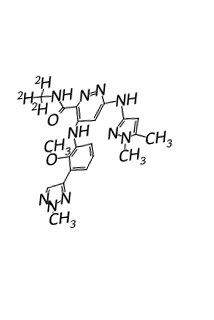 [2H]C([2H])([2H])NC(=O)c1nnc(Nc2cc(C)n(C)n2)cc1Nc1cccc(-c2cnn(C)n2)c1OC